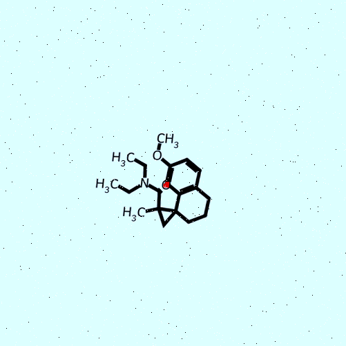 CCN(CC)C(=O)C1(C)CC12CCCc1ccc(OC)cc12